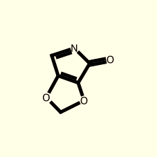 O=C1N=CC2=C1OCO2